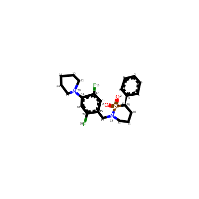 O=S1(=O)[C@@H](c2ccccc2)CCCN1Cc1cc(F)c(N2CCCCC2)cc1F